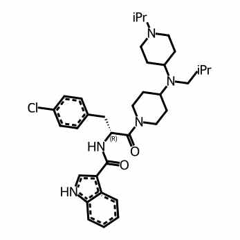 CC(C)CN(C1CCN(C(=O)[C@@H](Cc2ccc(Cl)cc2)NC(=O)c2c[nH]c3ccccc23)CC1)C1CCN(C(C)C)CC1